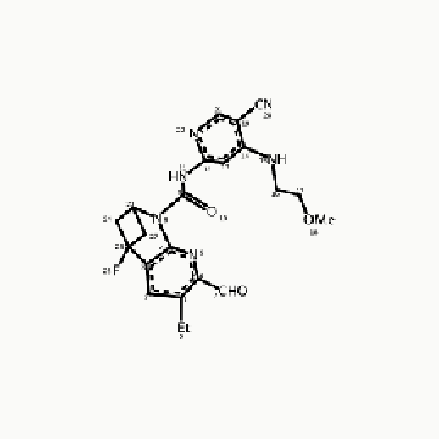 CCc1cc2c(nc1C=O)N(C(=O)Nc1cc(NCCOC)c(C#N)cn1)C1CC2(F)C1